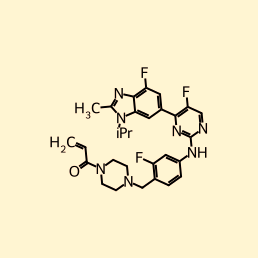 C=CC(=O)N1CCN(Cc2ccc(Nc3ncc(F)c(-c4cc(F)c5nc(C)n(C(C)C)c5c4)n3)cc2F)CC1